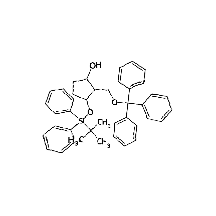 CC(C)(C)[Si](OC1CCC(O)C1COC(c1ccccc1)(c1ccccc1)c1ccccc1)(c1ccccc1)c1ccccc1